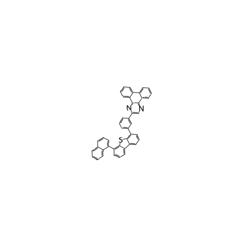 c1cc(-c2cnc3c4ccccc4c4ccccc4c3n2)cc(-c2cccc3c2sc2c(-c4cccc5ccccc45)cccc23)c1